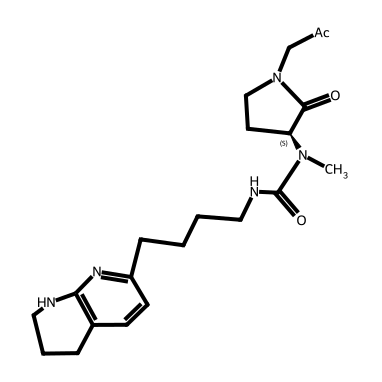 CC(=O)CN1CC[C@H](N(C)C(=O)NCCCCc2ccc3c(n2)NCCC3)C1=O